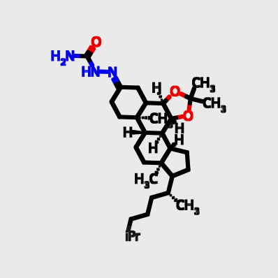 CC(C)CCC[C@@H](C)C1CC[C@H]2[C@@H]3[C@H]4OC(C)(C)O[C@@H]4C4C/C(=N/NC(N)=O)CC[C@]4(C)[C@H]3CC[C@]12C